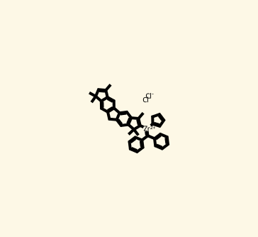 CC1=CC(C)(C)c2cc3c(cc21)-c1cc2c(cc1C3)C(C)(C)[C]([Zr+2]([C]1=CC=CC1)=[C](c1ccccc1)c1ccccc1)=C2C.[Cl-].[Cl-]